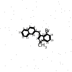 Cn1cc(Cc2ccc3ccccc3c2)c2c(Br)cccc21